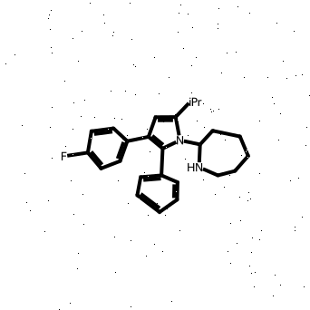 CC(C)c1cc(-c2ccc(F)cc2)c(-c2ccccc2)n1C1CCCCCN1